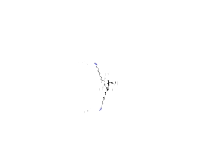 CCCCCCCC/C=C\CCCCCCCC(=O)NCC1(CN)CN=C(CCCCCCC/C=C\CCCCCCCC)NC1